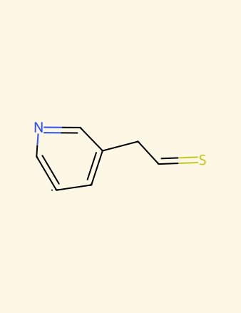 S=CCc1c[c]cnc1